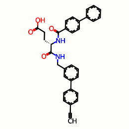 C#Cc1ccc(-c2cccc(CNC(=O)[C@H](CCC(=O)O)NC(=O)c3ccc(-c4ccccc4)cc3)c2)cc1